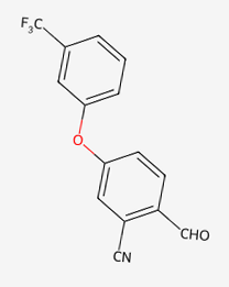 N#Cc1cc(Oc2cccc(C(F)(F)F)c2)ccc1C=O